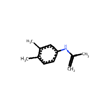 C=C(C)Nc1ccc(C)c(C)c1